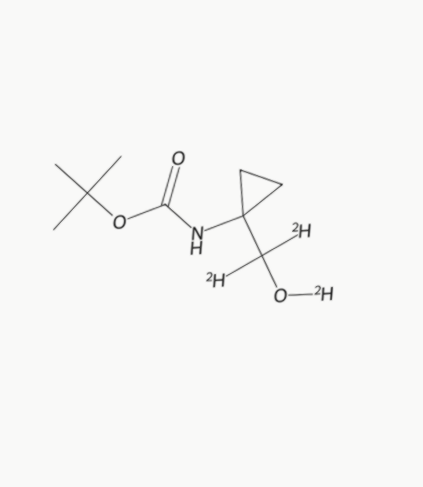 [2H]OC([2H])([2H])C1(NC(=O)OC(C)(C)C)CC1